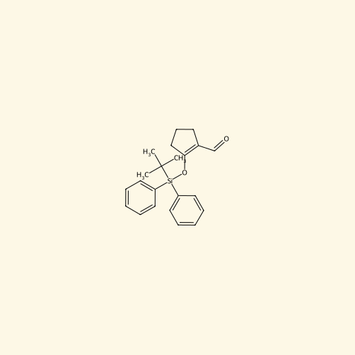 CC(C)(C)[Si](OC1=C(C=O)CCC1)(c1ccccc1)c1ccccc1